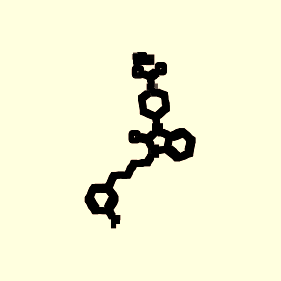 CC(C)(C)OC(=O)N1CCC(n2c(=O)n(CCCCc3cccc(F)c3)c3ccccc32)CC1